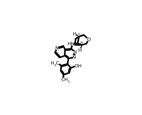 Cc1cc(C)c(-c2nnc(NC3[C@@H]4CC[C@H]3COC4)c3cnccc23)c(O)c1